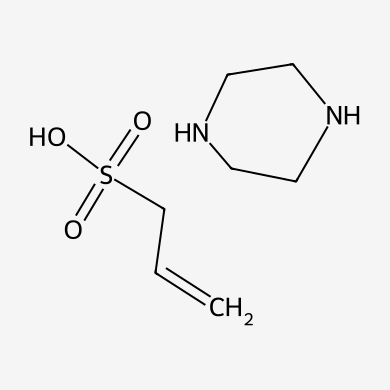 C1CNCCN1.C=CCS(=O)(=O)O